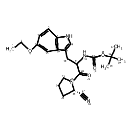 CCOc1ccc2[nH]cc(CC(NC(=O)OC(C)(C)C)C(=O)N3CCC[C@H]3C#N)c2c1